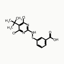 CC(C)(C)c1c(Cl)nc(NSc2cccc(C(=O)O)c2)nc1Cl